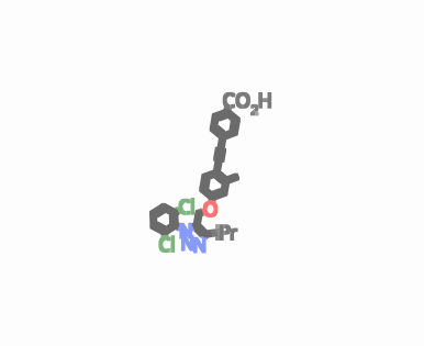 Cc1cc(OCc2c(C(C)C)nnn2-c2c(Cl)cccc2Cl)ccc1C#Cc1ccc(C(=O)O)cc1